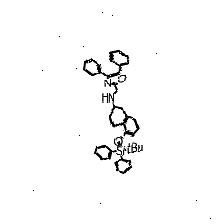 CC(C)(C)[Si](Oc1cccc2c1CCC(NCc1nc(-c3ccccc3)c(-c3ccccc3)o1)C2)(c1ccccc1)c1ccccc1